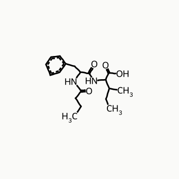 CCCC(=O)NC(Cc1ccccc1)C(=O)NC(C(=O)O)C(C)CC